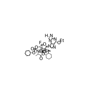 C#C[C@]1(O)[C@H](n2cnc3c(OCC)nc(N)nc32)O[C@]2(F)C(OP(=O)(NC(C)C(=O)OC3CCCCC3)Oc3ccccc3)[C@@]21O